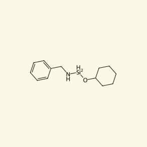 c1ccc(CN[SiH2]OC2CCCCC2)cc1